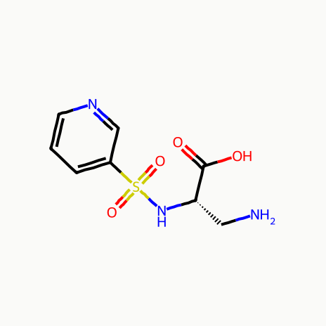 NC[C@H](NS(=O)(=O)c1cccnc1)C(=O)O